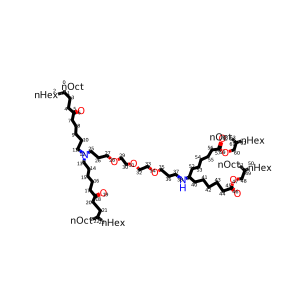 CCCCCCCCC(CCCCCC)CCC(=O)CCCCCN(CCCCCC(=O)CCC(CCCCCC)CCCCCCCC)CCCOCCOCCOCCCNC(CCCCCC(=O)OCC(CCCCCC)CCCCCCCC)CCCCCC(=O)OCC(CCCCCC)CCCCCCCC